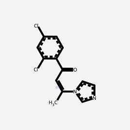 C/C(=C/C(=O)c1ccc(Cl)cc1Cl)n1ccnc1